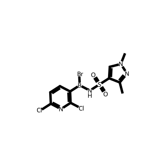 Cc1nn(C)cc1S(=O)(=O)NB(Br)c1ccc(Cl)nc1Cl